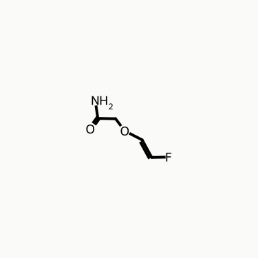 NC(=O)COC=CF